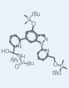 CCC[C@@](O)(N[S@+]([O-])C(C)(C)C)c1cccc(-c2cc(O[Si](C)(C)C(C)(C)C)c3cnn(-c4cccc(CO[Si](C)(C)C(C)(C)C)n4)c3c2)n1